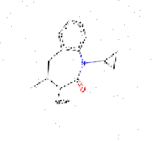 CNC1C(=O)N(C2CC2)c2ccccc2CC1C